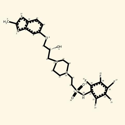 Cc1nc2cc(OC[C@H](O)CN3CCN(CCS(=O)(=O)Nc4c(F)c(F)c(F)c(F)c4F)CC3)ccc2s1